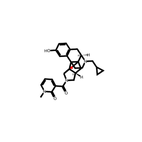 Cn1cccc(C(=O)N2C[C@H]3CC45CCC2C3C42CCN(CC3CC3)[C@@H]5Cc3ccc(O)cc32)c1=O